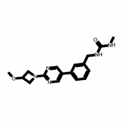 CNC(=O)NCc1cccc(-c2cnc(N3CC(OC)C3)nc2)c1